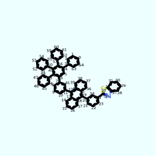 c1ccc(-c2cc(-c3cccc(-c4c5ccccc5c(-c5cccc(-c6nc7ccccc7s6)c5)c5ccccc45)c3)c(-c3ccccc3)c(-c3ccccc3)c2-c2ccccc2)cc1